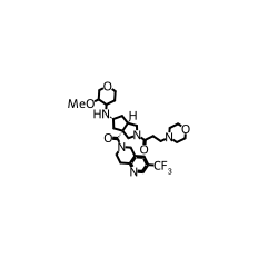 COC1COCCC1N[C@@H]1C[C@H]2CN(C(=O)CCN3CCOCC3)C[C@@]2(C(=O)N2CCc3ncc(C(F)(F)F)cc3C2)C1